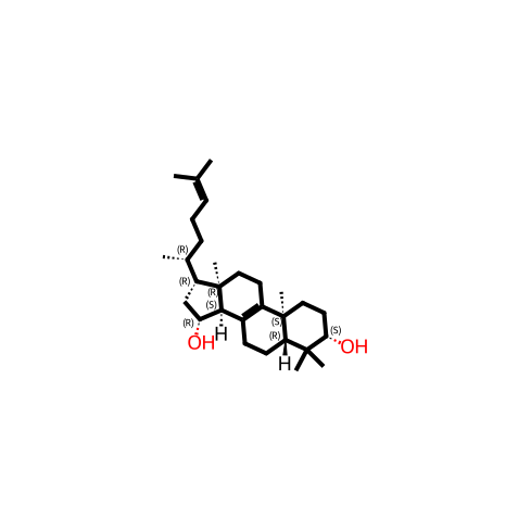 CC(C)=CCC[C@@H](C)[C@H]1C[C@@H](O)[C@@H]2C3=C(CC[C@]12C)[C@@]1(C)CC[C@H](O)C(C)(C)[C@@H]1CC3